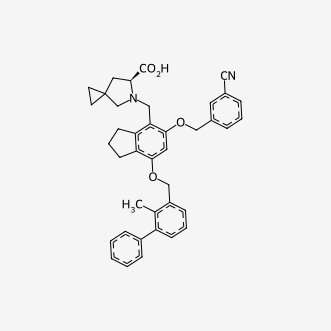 Cc1c(COc2cc(OCc3cccc(C#N)c3)c(CN3CC4(CC4)C[C@H]3C(=O)O)c3c2CCC3)cccc1-c1ccccc1